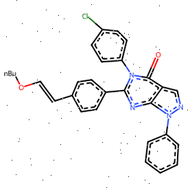 CCCCOC=Cc1ccc(-c2nc3c(cnn3-c3ccccc3)c(=O)n2-c2ccc(Cl)cc2)cc1